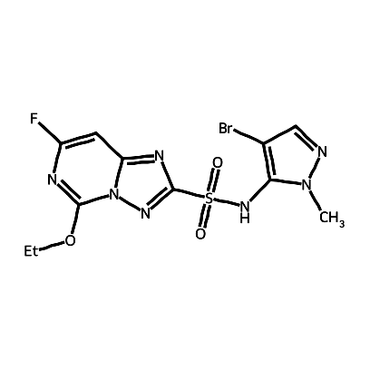 CCOc1nc(F)cc2nc(S(=O)(=O)Nc3c(Br)cnn3C)nn12